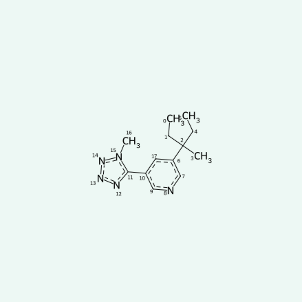 CCC(C)(CC)c1cncc(-c2nnnn2C)c1